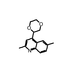 Cc1ccc2nc(C)cc(C3COCCO3)c2c1